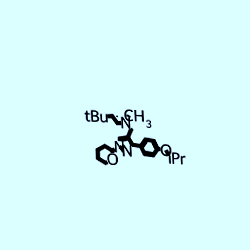 CC(C)Oc1ccc(-c2nn(C3CCCCO3)cc2CN(C)C[CH]C(C)(C)C)cc1